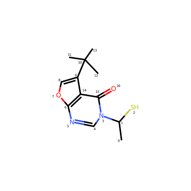 CC(S)n1cnc2occ(C(C)(C)C)c2c1=O